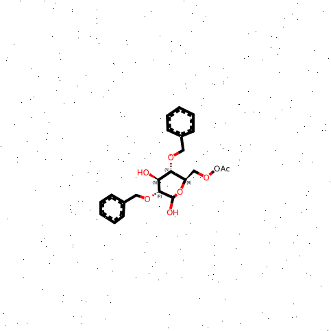 CC(=O)OOC[C@H]1OC(O)[C@H](OCc2ccccc2)[C@@H](O)[C@@H]1OCc1ccccc1